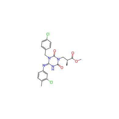 COC(=O)[C@@H](C)Cn1c(=O)[nH]/c(=N\c2ccc(C)c(Cl)c2)n(Cc2ccc(Cl)cc2)c1=O